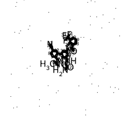 Cn1cnnc1-c1ccc(C#N)cc1-c1cc(NCC(N)=O)nc(N2Cc3c(cccc3C(F)(F)F)C2=O)c1